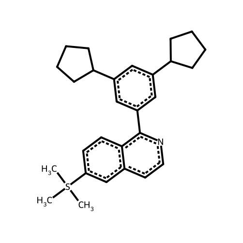 CS(C)(C)c1ccc2c(-c3cc(C4CCCC4)cc(C4CCCC4)c3)nccc2c1